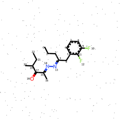 CCC/C(Cc1cccc(F)c1F)=N\N=C(/C)C(=O)C(C)CC